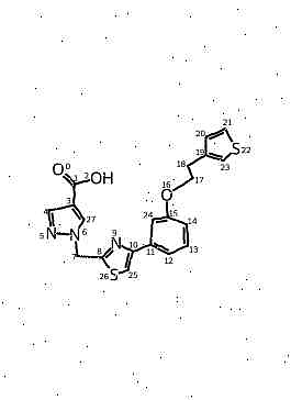 O=C(O)c1cnn(Cc2nc(-c3cccc(OCCc4ccsc4)c3)cs2)c1